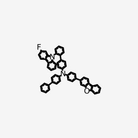 Fc1ccc2c3ccccc3n(-c3ccccc3-c3ccc(N(c4ccc(-c5ccccc5)cc4)c4ccc(-c5ccc6c(c5)oc5ccccc56)cc4)cc3)c2c1